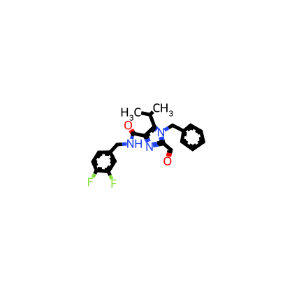 CC(C)c1c(C(=O)NCc2ccc(F)c(F)c2)nc(C=O)n1Cc1ccccc1